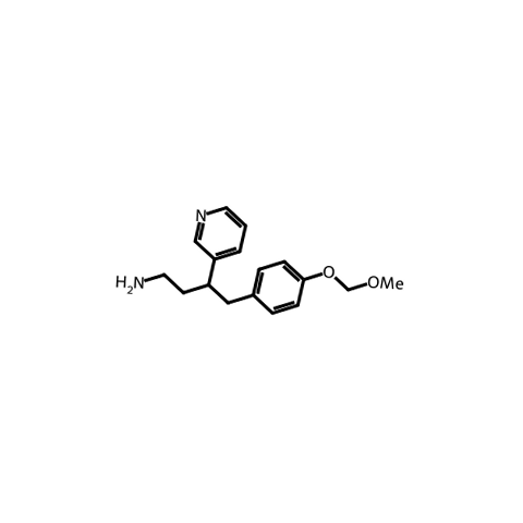 COCOc1ccc(CC(CCN)c2cccnc2)cc1